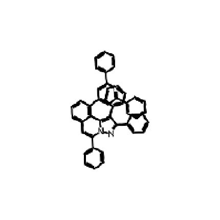 c1ccc(-c2cc(-c3cccc4cc(-c5ccccc5)n5nc(-c6ccccc6)c(-c6ccccc6)c5c34)cc(-c3ccccc3)n2)cc1